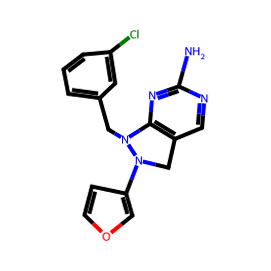 Nc1ncc2c(n1)N(Cc1cccc(Cl)c1)N(c1ccoc1)C2